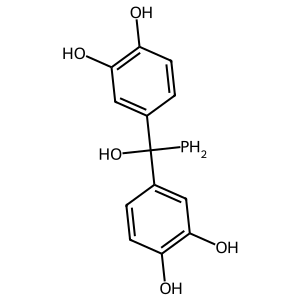 Oc1ccc(C(O)(P)c2ccc(O)c(O)c2)cc1O